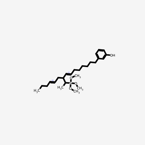 CCC/C=C/CC(/C=C/CCCCCCc1cccc(O)c1)C(C)[Si](OC)(OC)OC